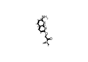 CN(C)C(=O)COc1ccc2ccc(N)nc2n1